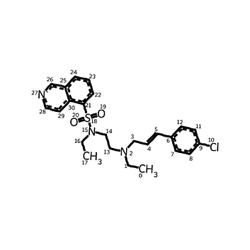 CCN(CC=Cc1ccc(Cl)cc1)CCN(CC)S(=O)(=O)c1cccc2cnccc12